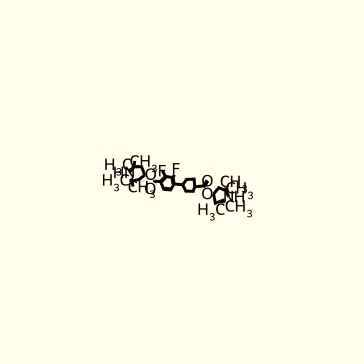 CC1(C)CC(OC(=O)c2ccc(C3CCC(C(=O)OC4CC(C)(C)NC(C)(C)C4)CC3)c(F)c2F)CC(C)(C)N1